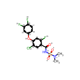 CN(C)S(=O)(=O)NC(=O)c1cc(Cl)c(Oc2ccc(F)c(F)c2)cc1F